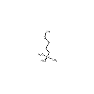 C[N+](C)(O)CCCOO